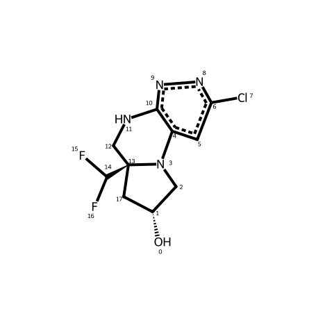 O[C@H]1CN2c3cc(Cl)nnc3NC[C@@]2(C(F)F)C1